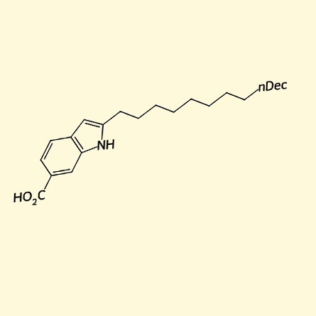 CCCCCCCCCCCCCCCCCCc1cc2ccc(C(=O)O)cc2[nH]1